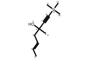 CC=CCC(O)(I)C#C[Si](C)(C)C